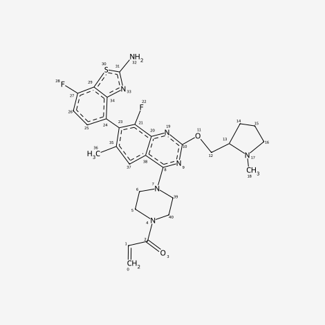 C=CC(=O)N1CCN(c2nc(OCC3CCCN3C)nc3c(F)c(-c4ccc(F)c5sc(N)nc45)c(C)cc23)CC1